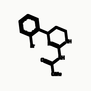 COC(=O)NC1=NC(c2ccccc2Br)CCN1